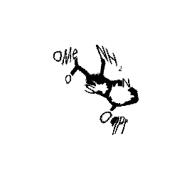 COC(=O)c1sc2c(OC(C)C)ccnc2c1N